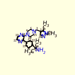 Cc1c(CN2CCN(c3nccnc3-c3ccc(C(C)(C)N)cc3)CC2)cnn1C